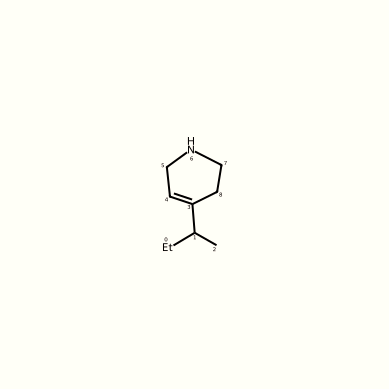 CCC(C)C1=CCNCC1